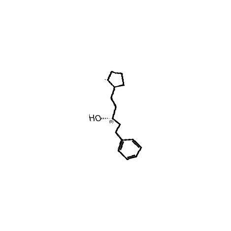 O[C@@H](CCc1ccccc1)CCC1[CH]CCC1